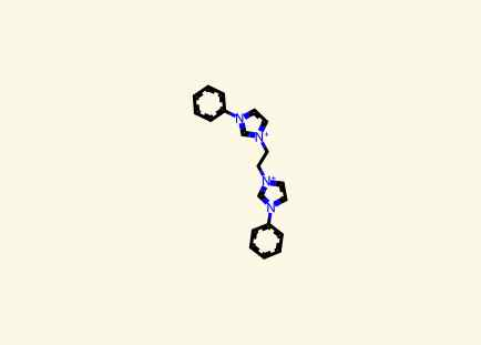 c1ccc(-n2cc[n+](CC[n+]3ccn(-c4ccccc4)c3)c2)cc1